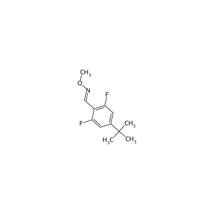 CO/N=C/c1c(F)cc(C(C)(C)C)cc1F